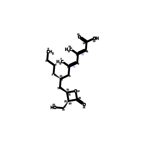 CCCC[C@H](C/C(C)=C/C(C)=C/C(=O)O)C[C@H]1OC(=O)[C@@H]1CO